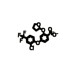 O=[N+]([O-])c1ccc(Oc2ccc(C(F)(F)F)cc2Cl)cc1OC1CCCO1